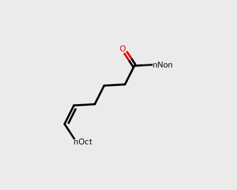 CCCCCCCC/C=C\CCCC(=O)CCCCCCCCC